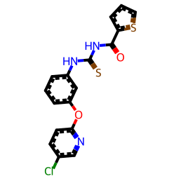 O=C(NC(=S)Nc1cccc(Oc2ccc(Cl)cn2)c1)c1cccs1